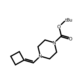 CC(C)(C)OC(=O)N1CCN(C=C2CCC2)CC1